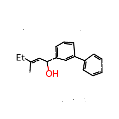 CCC(C)=CC(O)c1cccc(-c2ccccc2)c1